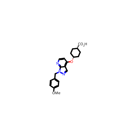 COc1ccc(Cn2ncc3c(O[C@H]4CC[C@H](C(=O)O)CC4)ccnc32)cc1